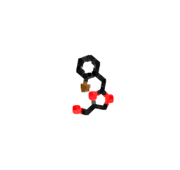 O=CC1COC(Cc2ccccc2Br)O1